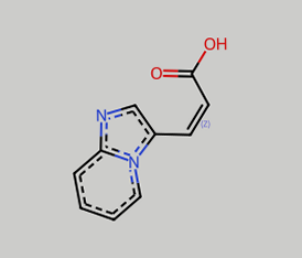 O=C(O)/C=C\c1cnc2ccccn12